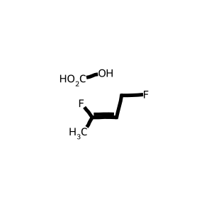 CC(F)=CCF.O=C(O)O